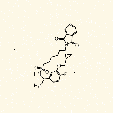 C[C@@H](NS(=O)(=O)CCCCCCN1C(=O)c2ccccc2C1=O)c1ccc(F)c(OCC2CC2)c1